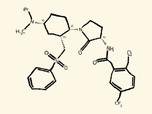 CC(C)N(C)[C@@H]1CC[C@H](N2CC[C@H](NC(=O)c3cc(C(F)(F)F)ccc3Cl)C2=O)[C@H](CS(=O)(=O)c2ccccc2)C1